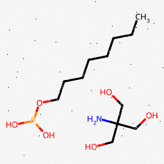 CCCCCCCCOP(O)O.NC(CO)(CO)CO